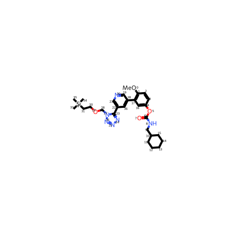 COc1ccc(OC(=O)NCC2CCCCC2)cc1-c1cncc(-c2nnnn2COCC[Si](C)(C)C)c1